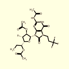 CCC(OC(C)=O)[C@H]1O[C@@H](n2c(=O)n(CCC(F)(F)F)c3c(=O)[nH]c(NC(C)=O)nc32)[C@H](OC(C)=O)[C@H]1F